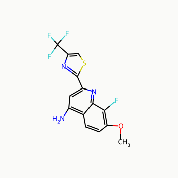 COc1ccc2c(N)cc(-c3nc(C(F)(F)F)cs3)nc2c1F